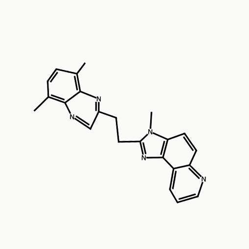 Cc1ccc(C)c2nc(CCc3nc4c5cccnc5ccc4n3C)cnc12